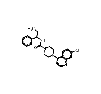 CCC(NC(=O)N1CCN(c2ccnc3cc(Cl)ccc23)CC1)c1ccccc1